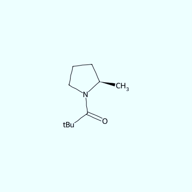 C[C@@H]1CCCN1C(=O)C(C)(C)C